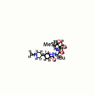 CC[C@H](C)[C@H](NC(=O)c1ccc(C2CCN(C3CC3)CC2)cc1)C(=O)N1C[C@H](SC)[C@H]2OCC(=O)[C@H]21